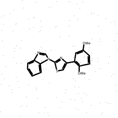 COc1ccc(OC)c(-c2csc(-n3cnc4ccccc43)n2)c1